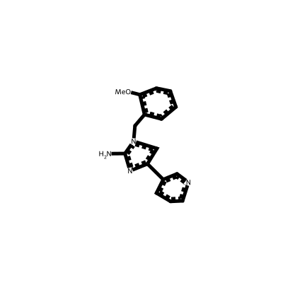 COc1ccccc1Cn1cc(-c2cccnc2)nc1N